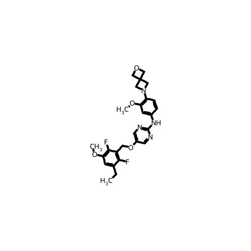 CCc1cc(OC)c(F)c(COc2cnc(Nc3ccc(N4CC5(COC5)C4)c(OC)c3)nc2)c1F